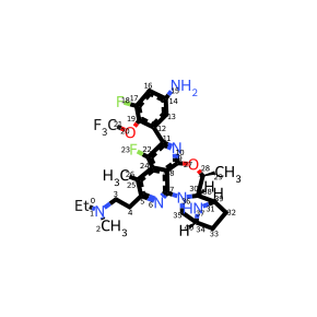 CCN(C)CCc1nc2c3c(nc(-c4cc(N)cc(F)c4OC(F)(F)F)c(F)c3c1C)O[C@@H](C)[C@@H]1[C@@H]3CC[C@H](CN21)N3